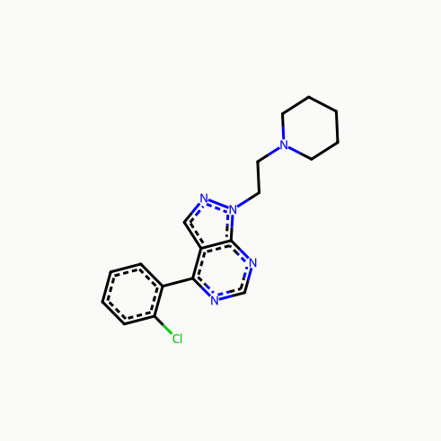 Clc1ccccc1-c1ncnc2c1cnn2CCN1CCCCC1